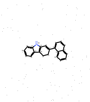 C1=C(c2cccc3ccccc23)CCc2c1[nH]c1ccccc21